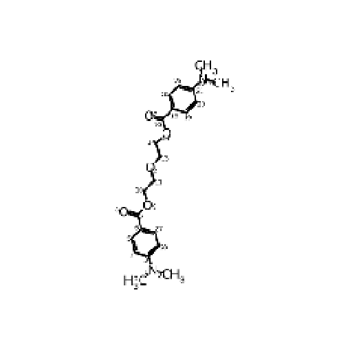 CN(C)c1ccc(C(=O)OCCOCCOC(=O)c2ccc(N(C)C)cc2)cc1